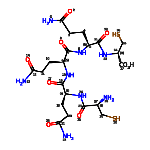 NC(=O)CC[C@H](NC(=O)[C@H](CCC(N)=O)NC(=O)[C@H](CCC(N)=O)NC(=O)[C@@H](N)CS)C(=O)N[C@@H](CS)C(=O)O